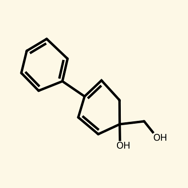 OCC1(O)C=CC(c2ccccc2)=CC1